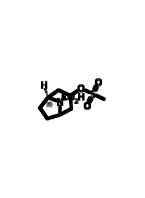 CS(=O)(=O)OC1CC2CC[C@@H](C1)N2C(=O)O